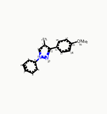 CCc1cn(-c2ccccc2)nc1-c1ccc(OC)cc1